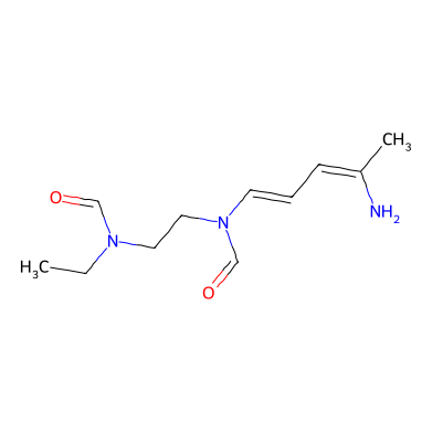 CCN(C=O)CCN(C=O)/C=C/C=C(/C)N